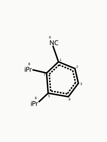 [C-]#[N+]c1cccc(C(C)C)c1C(C)C